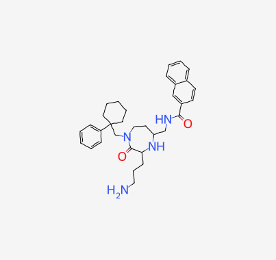 NCCCC1NC(CNC(=O)c2ccc3ccccc3c2)CCN(CC2(c3ccccc3)CCCCC2)C1=O